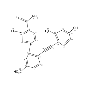 NC(=O)c1ccc(-c2cc(C(=O)O)ccc2C#Cc2ccc(O)cc2C(F)(F)F)cc1Cl